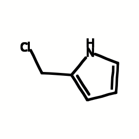 ClCc1ccc[nH]1